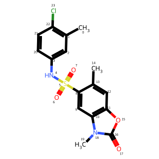 Cc1cc(NS(=O)(=O)c2cc3c(cc2C)oc(=O)n3C)ccc1Cl